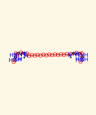 Cc1ccc(S(=O)(=O)Nc2ccc(NNC=O)cc2)c(C)c1NC(=O)C[n+]1cccc(CON(CCOCCOCCOCCOCCOCCOCCOCCOCCOCCOCCOCCOCCOCCOCCN(C(=O)c2ccc[n+](CC(=O)Nc3c(C)ccc(S(=O)(=O)Nc4ccc(NNC=O)cc4)c3C)c2)C(C)CC(C)C)C(C)CC(C)C)c1